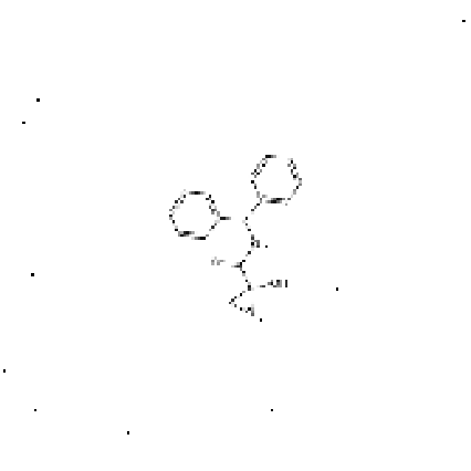 O=C(OC(c1ccccc1)c1ccccc1)C1(O)CC1